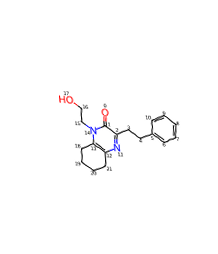 O=c1c(CCc2ccccc2)nc2c(n1CCO)CCCC2